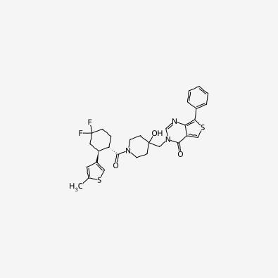 Cc1cc([C@H]2CC(F)(F)CC[C@@H]2C(=O)N2CCC(O)(Cn3cnc4c(-c5ccccc5)scc4c3=O)CC2)cs1